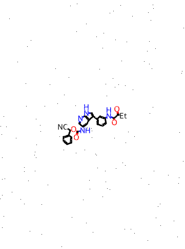 CCC(=O)C(=O)Nc1cccc(-c2c[nH]c3ncc(NC(=O)OC(C#N)c4ccccc4)cc23)c1